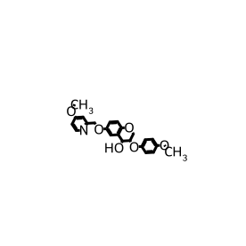 COc1ccc(OC2COc3ccc(OCc4cc(OC)ccn4)cc3C2O)cc1